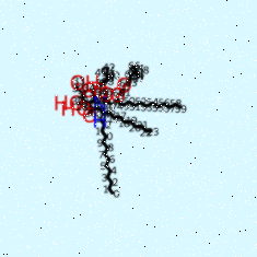 CCCCCCCCCCCCCC[C@H](CCCCCCCCC)CC(=O)[C@]1(O)[C@H](O)[C@@H](CO)O[C@H](OCC[Si](C)(C)C)[C@H]1NC(=O)C[C@@H](CCCCCCCCCCC)OCOCC[Si](C)(C)C